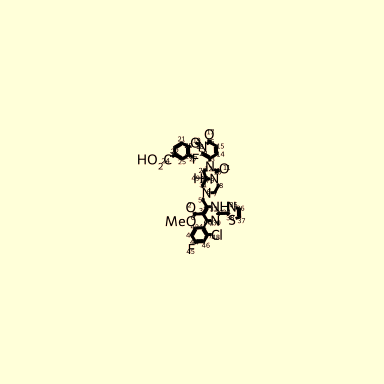 COC(=O)C1=C(CN2CCN3C(=O)N(c4ccc(=O)n(Oc5ccc(C(=O)O)cc5F)c4)C[C@@H]3C2)NC(c2nccs2)=N[C@H]1c1ccc(F)cc1Cl